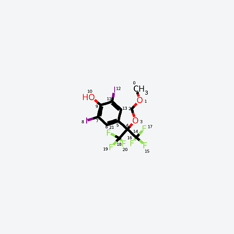 COCOC(c1cc(I)c(O)c(I)c1)(C(F)(F)F)C(F)(F)F